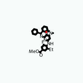 CCc1cc(C(=O)OC)cc(F)c1Nc1cc2c(ncn2C)c(N=C(c2ccccc2)c2ccccc2)n1